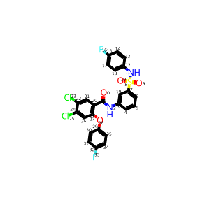 O=C(Nc1cccc(S(=O)(=O)Nc2ccc(F)cc2)c1)c1cc(Cl)c(Cl)cc1Oc1ccc(F)cc1